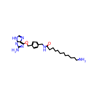 NCCCCCCCCCCCC(=O)NCc1ccc(COc2nc(N)nc3[nH]cnc23)cc1